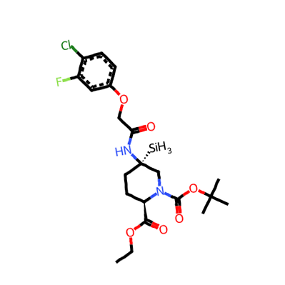 CCOC(=O)[C@H]1CC[C@@]([SiH3])(NC(=O)COc2ccc(Cl)c(F)c2)CN1C(=O)OC(C)(C)C